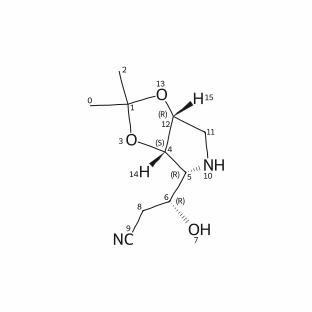 CC1(C)O[C@H]2[C@@H]([C@H](O)CC#N)NC[C@H]2O1